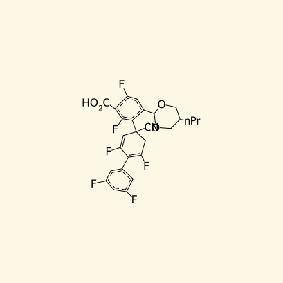 CCCC1COC(c2cc(F)c(C(=O)O)c(F)c2C2(C#N)C=C(F)C(c3cc(F)cc(F)c3)=C(F)C2)OC1